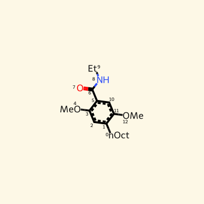 CCCCCCCCc1cc(OC)c(C(=O)NCC)cc1OC